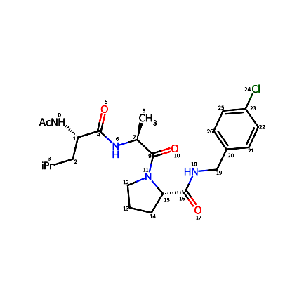 CC(=O)N[C@@H](CC(C)C)C(=O)N[C@@H](C)C(=O)N1CCC[C@H]1C(=O)NCc1ccc(Cl)cc1